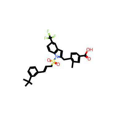 Cc1cc(C(=O)O)ccc1Cc1cc2cc(C(F)(F)F)ccc2n1S(=O)(=O)CC=Cc1cccc(C(C)(C)C)c1